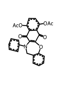 CC(=O)Oc1ccc(OC(C)=O)c2c1C(=O)C1=C(C2=O)N(c2ccccc2)Cc2ccccc2O1